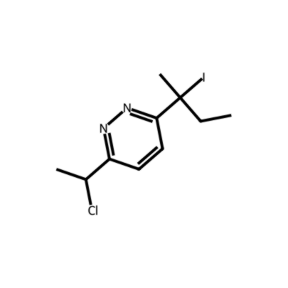 CCC(C)(I)c1ccc(C(C)Cl)nn1